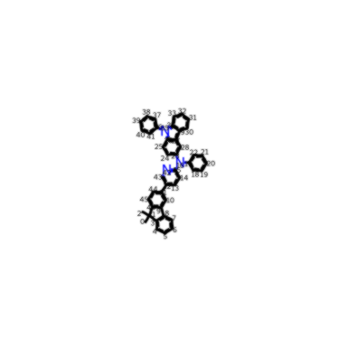 CC1(C)c2ccccc2-c2cc(-c3ccc(N(c4ccccc4)c4ccc5c(c4)c4ccccc4n5-c4ccccc4)nc3)ccc21